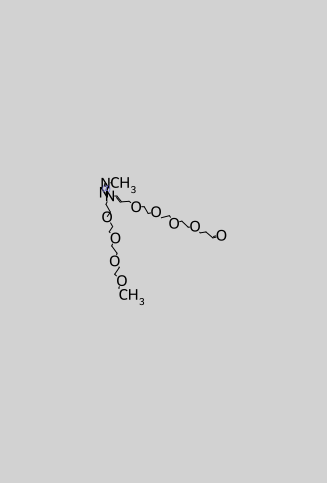 CCOCCOCCOCCOCCN(C=CCOCCOCCOCCOCCC=O)/N=N\C